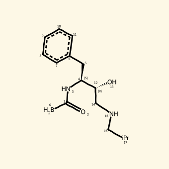 BC(=O)N[C@@H](Cc1ccccc1)[C@H](O)CNCC(C)C